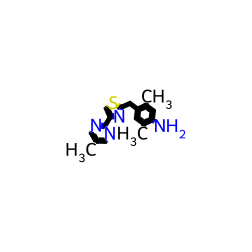 Cc1cnc(-c2csc(Cc3cc(C)c(N)cc3C)n2)nc1